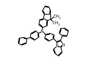 CC1(C)c2ccccc2-c2ccc(N(c3ccc(-c4ccccc4)cc3)c3ccc(-c4c(-c5ccccc5)nc5ccccn45)cc3)cc21